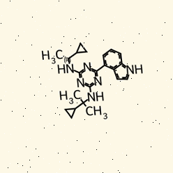 C[C@@H](Nc1nc(NC(C)(C)C2CC2)nc(-c2cccc3[nH]ccc23)n1)C1CC1